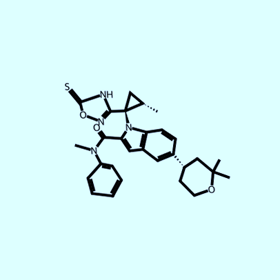 C[C@H]1C[C@]1(c1noc(=S)[nH]1)n1c(C(=O)N(C)c2ccccc2)cc2cc([C@H]3CCOC(C)(C)C3)ccc21